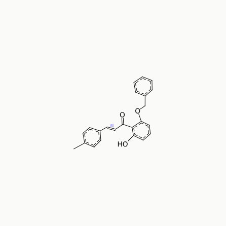 Cc1ccc(/C=C/C(=O)c2c(O)cccc2OCc2ccccc2)cc1